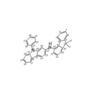 CC1(C)c2ccccc2-c2c(Nc3ccc4c5ccccc5n(-c5ccccc5)c4c3)cccc21